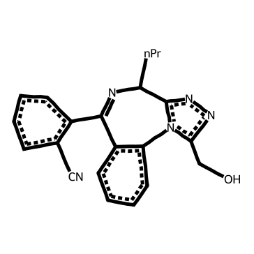 CCCC1N=C(c2ccccc2C#N)c2ccccc2-n2c(CO)nnc21